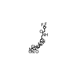 O=Cc1nonc1C(=O)NCc1cn2ncc(CNC(=O)CC3CC(F)(F)C3)cc2n1